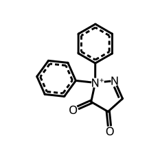 O=C1C=N[N+](c2ccccc2)(c2ccccc2)C1=O